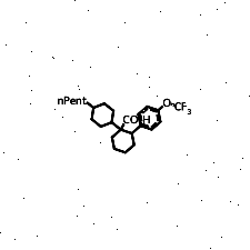 CCCCCC1CCC(C2(C(=O)O)CCCCC2c2ccc(OC(F)(F)F)cc2)CC1